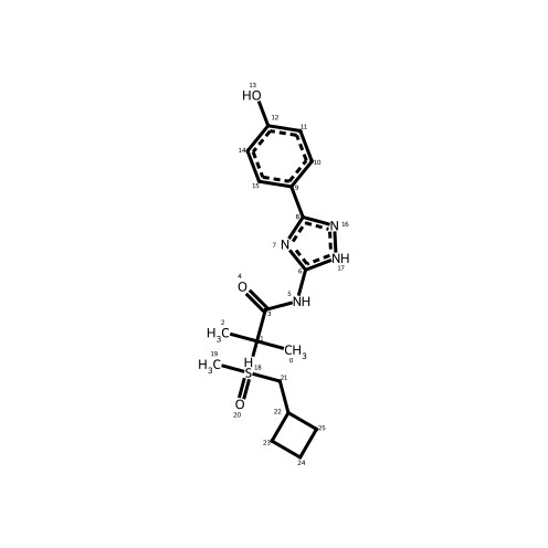 CC(C)(C(=O)Nc1nc(-c2ccc(O)cc2)n[nH]1)[SH](C)(=O)CC1CCC1